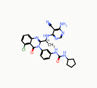 C[C@H](Nc1ncnc(N)c1C#N)c1nc2cccc(Cl)c2c(=O)n1-c1cccc(NC(=O)NC2CCCC2)c1